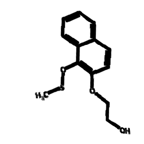 CSOc1c(OCCO)ccc2ccccc12